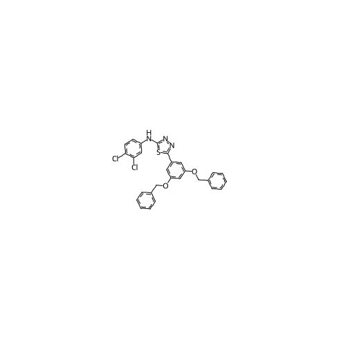 Clc1ccc(Nc2nnc(-c3cc(OCc4ccccc4)cc(OCc4ccccc4)c3)s2)cc1Cl